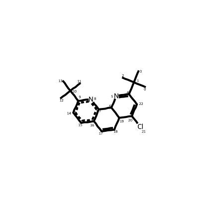 CC(C)(C)C1=NC2c3nc(C(C)(C)C)ccc3C=CC2C(Cl)=C1